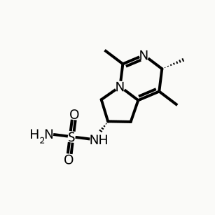 CC1=N[C@H](C)C(C)=C2C[C@H](NS(N)(=O)=O)CN12